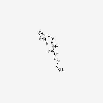 CCCCOC(=O)NC1CCN(CC)C1